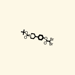 CC(C)(C)OC(=O)N1CCC(c2ccc(OC(=O)C(Br)Br)cc2)CC1